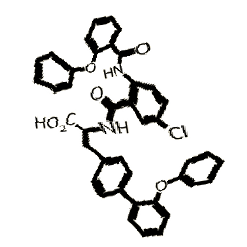 O=C(N[C@@H](Cc1ccc(-c2ccccc2Oc2ccccc2)cc1)C(=O)O)c1cc(Cl)ccc1NC(=O)c1ccccc1Oc1ccccc1